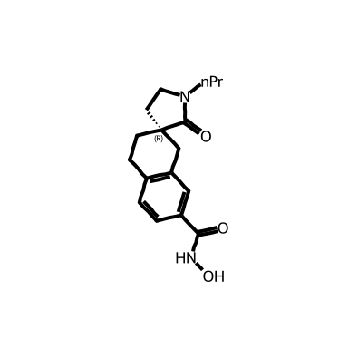 CCCN1CC[C@]2(CCc3ccc(C(=O)NO)cc3C2)C1=O